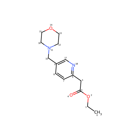 CCOC(=O)Cc1ccc(CN2CCOCC2)cn1